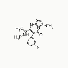 Cc1csc2nc([C@H](C)NP)c(-c3cccc(F)c3)c(=O)n12